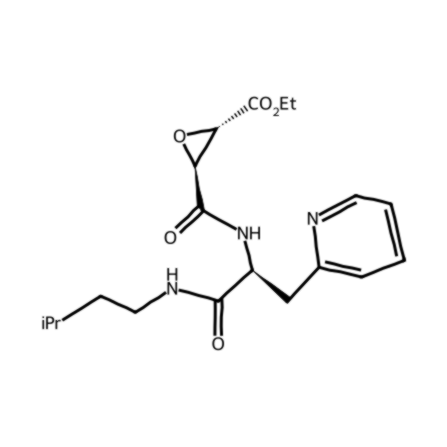 CCOC(=O)[C@H]1O[C@@H]1C(=O)N[C@@H](Cc1ccccn1)C(=O)NCCC(C)C